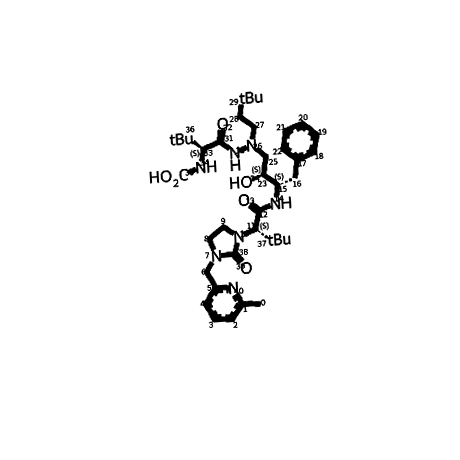 Cc1cccc(CN2CCN([C@H](C(=O)N[C@@H](Cc3ccccc3)[C@@H](O)CN(CCC(C)(C)C)NC(=O)[C@@H](NC(=O)O)C(C)(C)C)C(C)(C)C)C2=O)n1